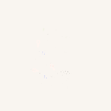 C=CCN(C(=O)C[C@@H]1CCC(=O)N1Cc1cc(F)cc(F)c1F)[C@@H](CC1CC1)C(=O)OC